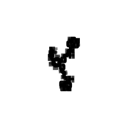 CC(C)(C)OC(=O)NCCCOc1ccc(N=[N+]=[N-])cc1OCCCNC(=O)OC(C)(C)C